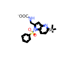 [CH3][Sn]([CH3])([CH3])[c]1ccc2c(cc(CNC(=O)[O-])n2S(=O)(=O)c2ccccc2)n1